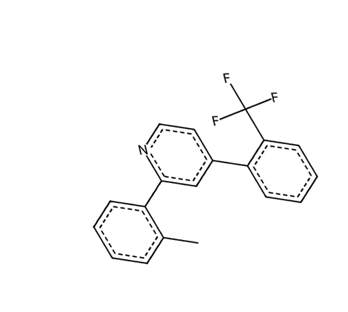 Cc1ccccc1-c1cc(-c2ccccc2C(F)(F)F)ccn1